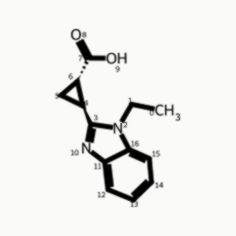 CCn1c([C@H]2C[C@@H]2C(=O)O)nc2ccccc21